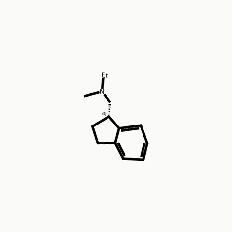 CCN(C)C[C@H]1C[CH]c2ccccc21